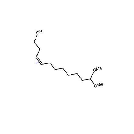 COC(CCCCCC/C=C\CCO)OC